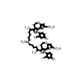 CN(CCCCC(c1nn(-c2ccc(Cl)cc2Cl)c2c1CCOc1cc(S(=O)(=O)O)sc1-2)C(F)(F)F)CCCCC(c1nn(-c2ccc(Cl)cc2Cl)c2c1CCOc1cc(S(=O)(=O)O)sc1-2)C(F)(F)F